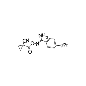 CCCc1ccc(/C(N)=N/OC(=O)C2(C#N)CC2)cc1